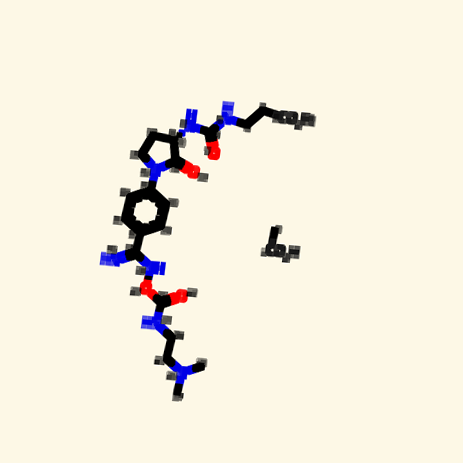 CC(=O)O.CCOC(=O)CCNC(=O)N[C@H]1CCN(c2ccc(C(=N)NOC(=O)NCCN(C)C)cc2)C1=O